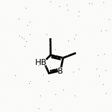 CC1=C(C)BC=B1